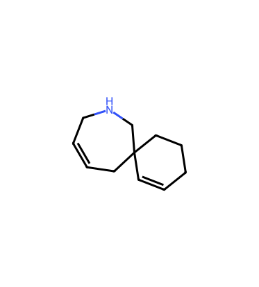 C1=CC2(CC=CCNC2)CCC1